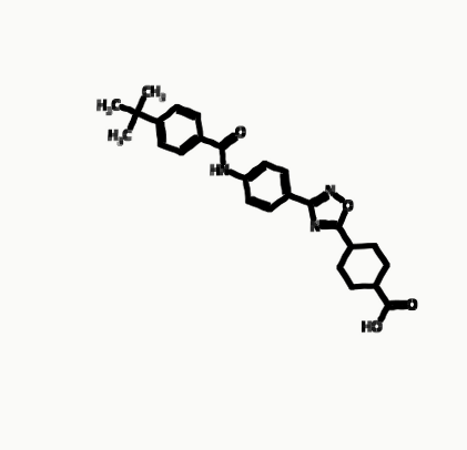 CC(C)(C)c1ccc(C(=O)Nc2ccc(-c3noc(C4CCC(C(=O)O)CC4)n3)cc2)cc1